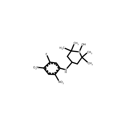 CC1(C)CC(Nc2cc(F)c([N+](=O)[O-])cc2[N+](=O)[O-])CC(C)(C)N1O